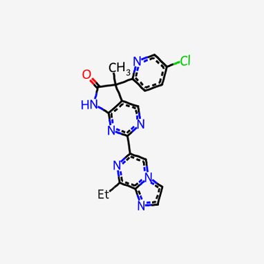 CCc1nc(-c2ncc3c(n2)NC(=O)C3(C)c2ccc(Cl)cn2)cn2ccnc12